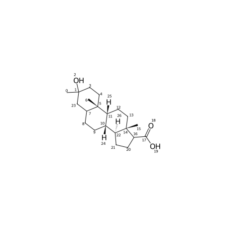 CC1(O)CC[C@@]2(C)C(CC[C@@H]3[C@H]2CC[C@]2(C)C(C(=O)O)CC[C@@H]32)C1